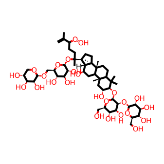 C=C(C)C(CCC(C)(O[C@@H]1O[C@H](CO[C@@H]2OC[C@@H](O)[C@H](O)[C@H]2O)[C@@H](O)[C@H](O)[C@H]1O)[C@H]1CC[C@]2(C)[C@@H]1[C@H](O)CC1[C@@]3(C)C[C@@H](O)[C@H](O[C@@H]4O[C@H](CO)[C@@H](O)[C@H](O)[C@H]4O[C@@H]4O[C@H](CO)[C@@H](O)[C@H](O)[C@H]4O)C(C)(C)C3CC[C@]12C)OO